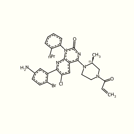 C=CC(=O)N1CCN(c2nc(=O)n(-c3ccccc3CCC)c3nc(-c4cc(N)ccc4Br)c(Cl)cc23)[C@@H](C)C1